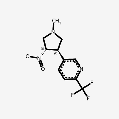 CN1C[C@@H]([N+](=O)[O-])[C@H](c2ccc(C(F)(F)F)nc2)C1